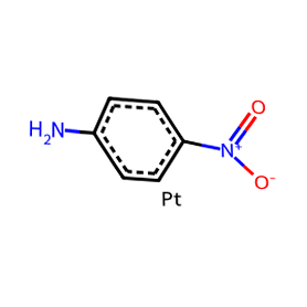 Nc1ccc([N+](=O)[O-])cc1.[Pt]